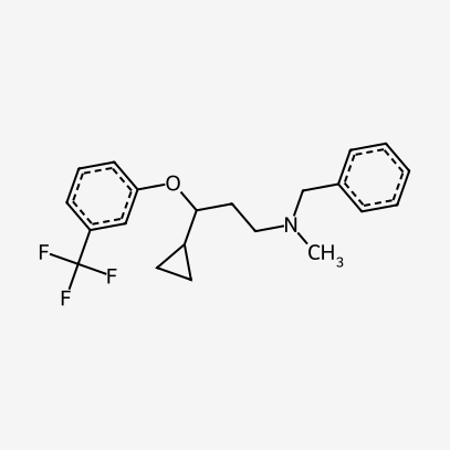 CN(CCC(Oc1cccc(C(F)(F)F)c1)C1CC1)Cc1ccccc1